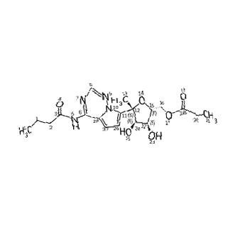 CCCC(=O)Nc1ncnn2c([C@]3(C)O[C@H](COC(=O)CC)[C@@H](O)[C@H]3O)ccc12